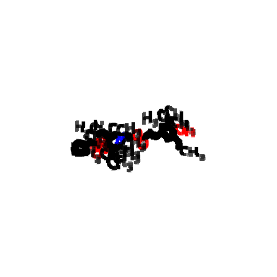 CCCc1cc(CCC(=O)OCCN2C(C)(C)C(CCC)C(O)(OC(=O)C(C)c3ccccc3)C(C(C)(C)C)C2(C)C)cc(C(C)(C)C)c1O